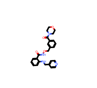 O=C(NOCc1cccc(C(=O)N2CCOCC2)c1)c1ccccc1NCc1ccncc1